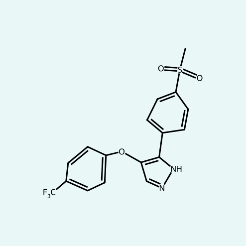 CS(=O)(=O)c1ccc(-c2[nH]ncc2Oc2ccc(C(F)(F)F)cc2)cc1